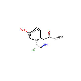 COC(=O)C1NCCc2cc(O)ccc21.Cl